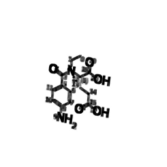 CCN(C(=O)c1ccc(N)cc1)[C@@H](CCC(=O)O)C(=O)O